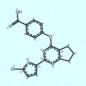 O=C(O)c1ccc(Oc2nc(-c3ccc(Cl)s3)nc3c2CCC3)cc1